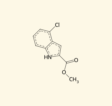 COC(=O)c1cc2c(Cl)cccc2[nH]1